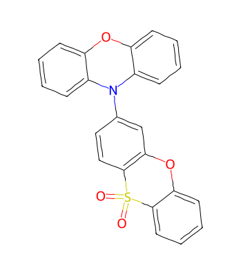 O=S1(=O)c2ccccc2Oc2cc(N3c4ccccc4Oc4ccccc43)ccc21